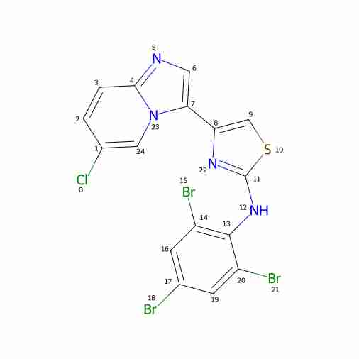 Clc1ccc2ncc(-c3csc(Nc4c(Br)cc(Br)cc4Br)n3)n2c1